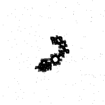 O=C1COC2CCN(C(=O)N3CC(C4CCCC(BC56CCC7CC(CC5)B76)CCC4)C3)CC2N1